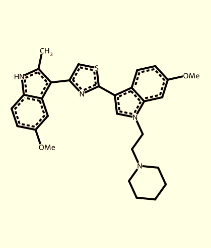 COc1ccc2[nH]c(C)c(-c3csc(-c4cn(CCN5CCCCC5)c5cc(OC)ccc45)n3)c2c1